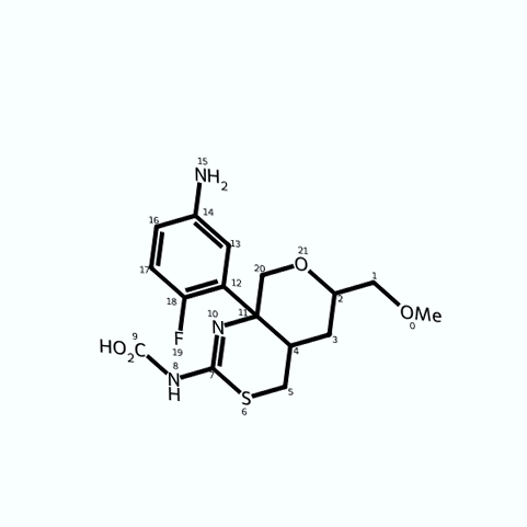 COCC1CC2CSC(NC(=O)O)=NC2(c2cc(N)ccc2F)CO1